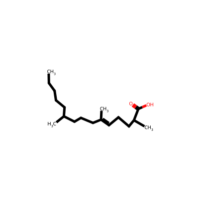 CCCCCC(C)CCC/C(C)=C/CCC(C)C(=O)O